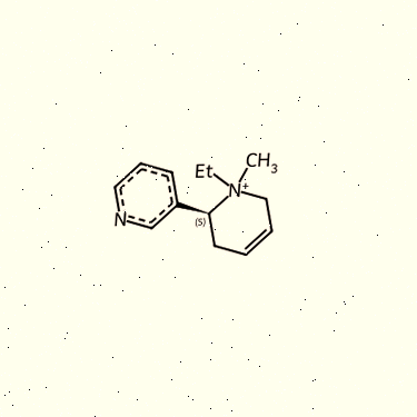 CC[N+]1(C)CC=CC[C@H]1c1cccnc1